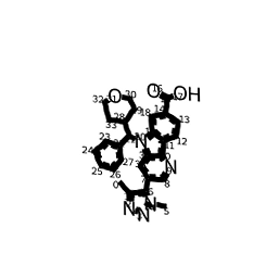 Cc1nnn(C)c1-c1cnc2c3ccc(C(=O)O)cc3n(C(c3ccccc3)C3CCOCC3)c2c1